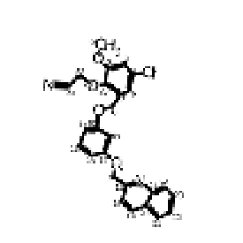 COc1cc(Cl)cc(COc2cccc(OCc3ccc4ccccc4n3)c2)c1OCC#N